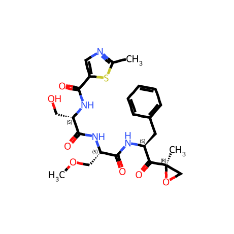 COC[C@H](NC(=O)[C@H](CO)NC(=O)c1cnc(C)s1)C(=O)N[C@@H](Cc1ccccc1)C(=O)[C@@]1(C)CO1